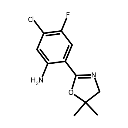 CC1(C)CN=C(c2cc(F)c(Cl)cc2N)O1